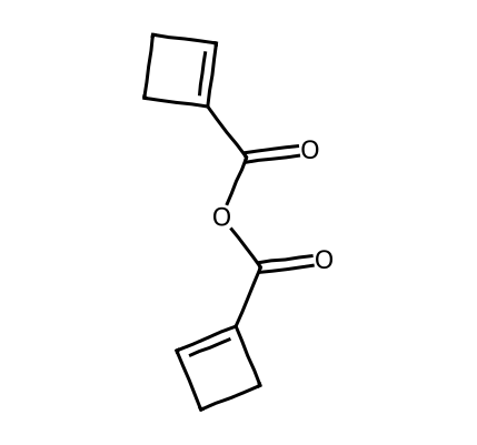 O=C(OC(=O)C1=CCC1)C1=CCC1